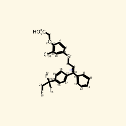 O=C(O)COc1ccc(SC/C=C(/c2ccccc2)c2ccc(C(F)(F)CF)cc2)cc1Cl